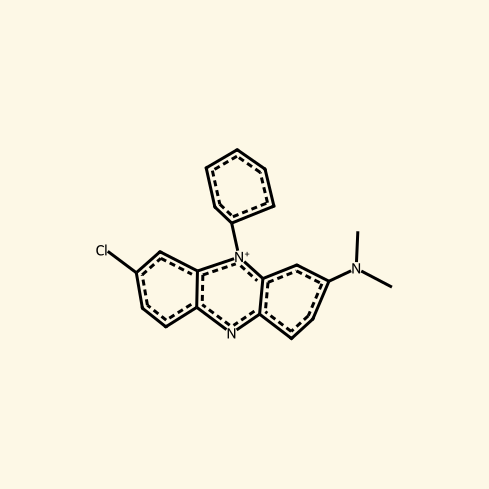 CN(C)c1ccc2nc3ccc(Cl)cc3[n+](-c3ccccc3)c2c1